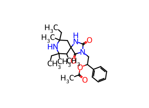 CCC1(C)CC2(NC(=O)N(CC(OC(C)=O)c3ccccc3)C2=O)C(C)C(C)(CC)N1